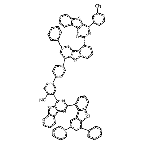 N#Cc1cccc(-c2nc(-c3cccc4oc5c(-c6ccc(-c7ccc(C#N)c(-c8nc(-c9cccc%10oc%11c(-c%12ccccc%12)cc(-c%12ccccc%12)cc%11c9%10)nc9c8sc8ccccc89)c7)cc6)cc(-c6ccccc6)cc5c34)nc3c2sc2ccccc23)c1